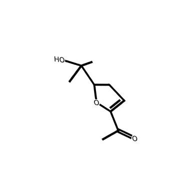 CC(=O)C1=CCC(C(C)(C)O)O1